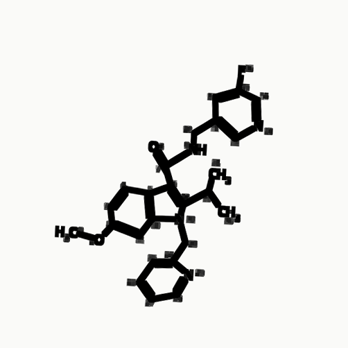 COc1ccc2c(C(=O)NCc3cncc(F)c3)c(C(C)C)n(Cc3ccccn3)c2c1